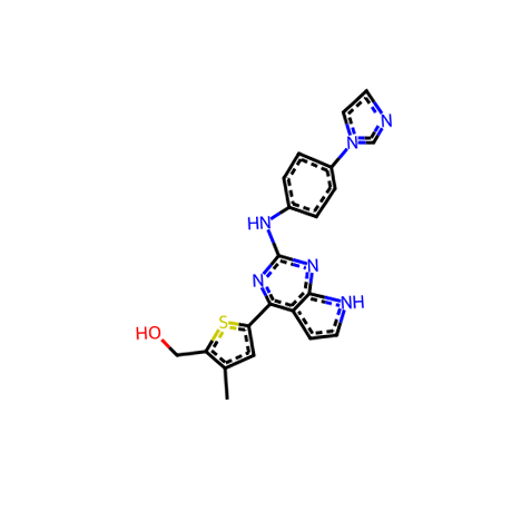 Cc1cc(-c2nc(Nc3ccc(-n4ccnc4)cc3)nc3[nH]ccc23)sc1CO